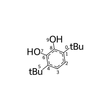 CC(C)(C)c1ccc(C(C)(C)C)c(O)c1O